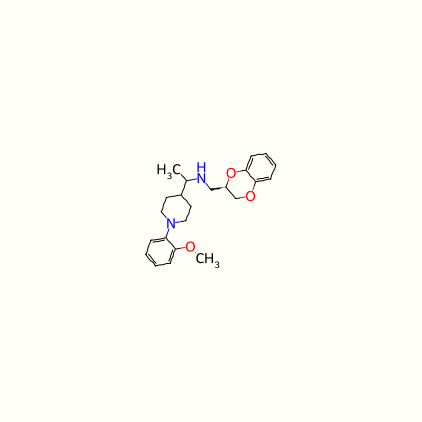 COc1ccccc1N1CCC(C(C)NC[C@@H]2COc3ccccc3O2)CC1